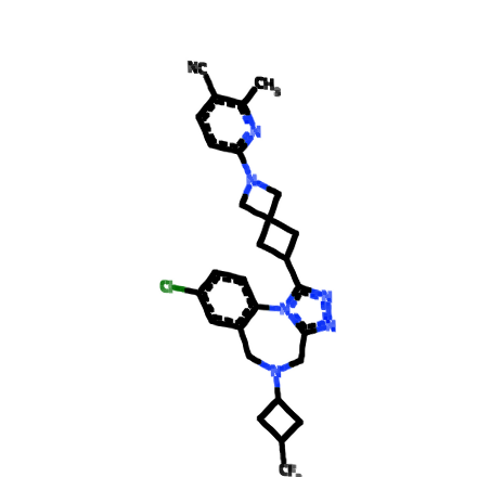 Cc1nc(N2CC3(CC(c4nnc5n4-c4ccc(Cl)cc4CN(C4CC(C(F)(F)F)C4)C5)C3)C2)ccc1C#N